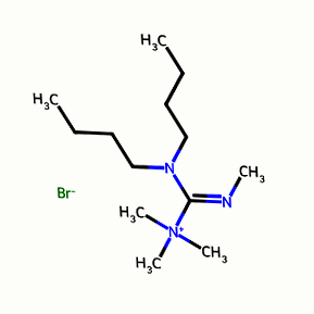 CCCCN(CCCC)/C(=N\C)[N+](C)(C)C.[Br-]